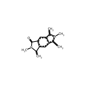 C=C1c2cc3c(=C)n(C)c(=C)c3cc2C(=O)N1C